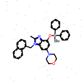 Cc1nc2c(O[Si](c3ccccc3)(c3ccccc3)C(C)(C)C)cc(N3CCOCC3)cc2n1Cc1cccc2ccccc12